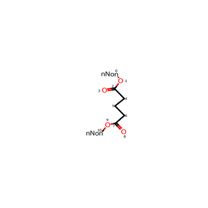 CCCCCCCCCOC(=O)CCCC(=O)OCCCCCCCCC